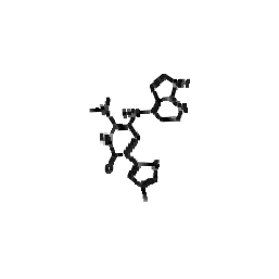 Cc1csc(-c2cc(Nc3ccnc4[nH]ccc34)c(N(C)C)[nH]c2=O)c1